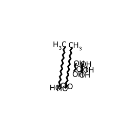 CCCCCCCCCCCCCCCC(=O)O.CCCCCCCCCCCCCCCC(=O)O.OCC(O)CO.OCC(O)CO